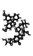 CCC(C)C(=O)Nc1nc2c(ncn2[C@@H]2O[C@H](COC(c3ccccc3)(c3ccc(OC)cc3)c3ccc(OC)cc3)[C@H](O[Si](C)(C)C(C)(C)C)[C@@H]2O[PH](=O)OC)c(=O)[nH]1